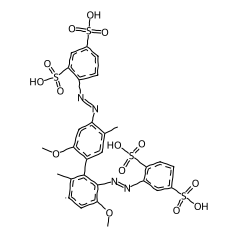 COc1cc(N=Nc2ccc(S(=O)(=O)O)cc2S(=O)(=O)O)c(C)cc1-c1c(C)[c]cc(OC)c1N=Nc1cc(S(=O)(=O)O)ccc1S(=O)(=O)O